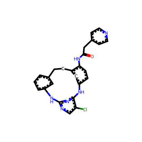 O=C(Cc1ccncc1)Nc1ccc2cc1CCc1cccc(c1)Nc1ncc(Cl)c(n1)N2